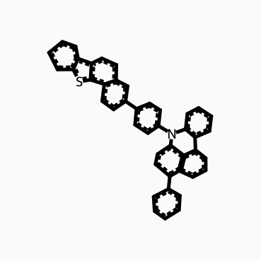 c1ccc(-c2ccc(N(c3ccc(-c4ccc5c(ccc6c7ccccc7sc56)c4)cc3)c3ccccc3-c3ccccc3)cc2)cc1